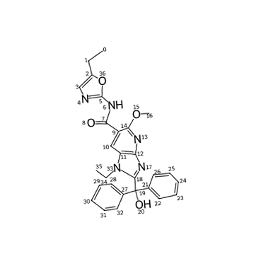 CCc1cnc(NC(=O)c2cc3c(nc2OC)nc(C(O)(c2ccccc2)c2ccccc2)n3CC)o1